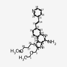 CCOCc1nc2c(N)nc3cc(C=Cc4cccnc4)ccc3c2n1CCCOC